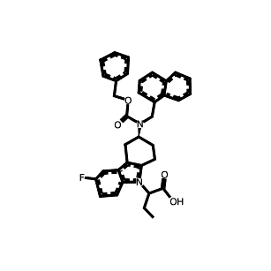 CCC(C(=O)O)n1c2c(c3cc(F)ccc31)C[C@@H](N(Cc1cccc3ccccc13)C(=O)OCc1ccccc1)CC2